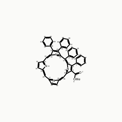 COC(=O)C1=C(c2ccccc2)C2=C(c3ccccc3)C3=NC(=CC4=NC(=CC5=NC(=CC1=N2)C=C5)C=C4)C(c1ccccc1)=C3c1ccccc1